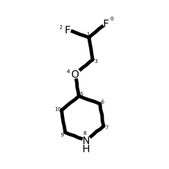 FC(F)COC1CCNCC1